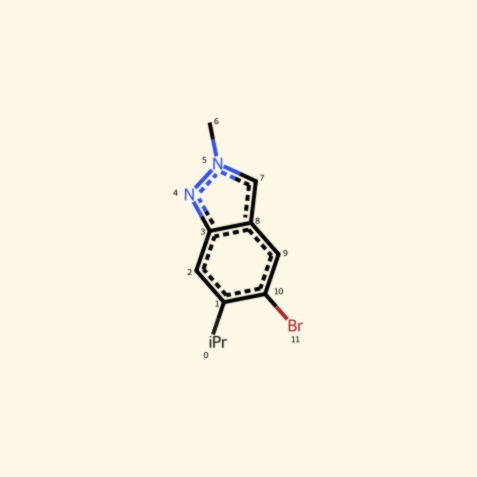 CC(C)c1cc2nn(C)cc2cc1Br